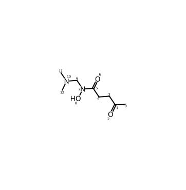 CC(=O)CCC(=O)N(O)CN(C)C